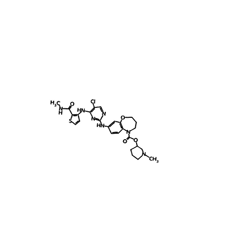 CNC(=O)c1sccc1Nc1nc(Nc2ccc3c(c2)OCCCN3C(=O)OC2CCCN(C)C2)ncc1Cl